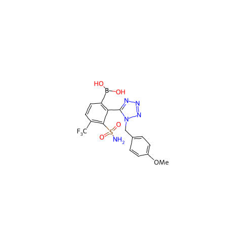 COc1ccc(Cn2nnnc2-c2c(B(O)O)ccc(C(F)(F)F)c2S(N)(=O)=O)cc1